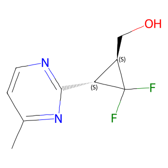 Cc1ccnc([C@@H]2[C@@H](CO)C2(F)F)n1